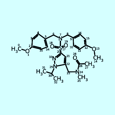 COc1ccc(CN(Cc2ccc(OC)cc2)S(=O)(=O)c2cc(CN(C)C(C)=O)n(C(C)C)n2)cc1